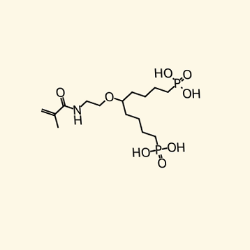 C=C(C)C(=O)NCCOC(CCCCP(=O)(O)O)CCCCP(=O)(O)O